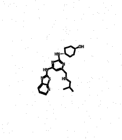 CC(C)CNCc1cc(Nc2nc3cccnc3s2)nc(N[C@H]2CC[C@H](O)CC2)n1